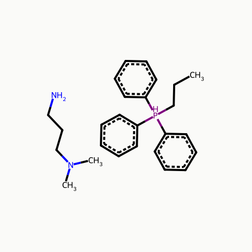 CCC[PH](c1ccccc1)(c1ccccc1)c1ccccc1.CN(C)CCCN